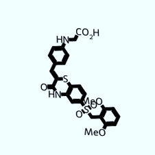 COc1cccc(OC)c1CS(=O)(=O)c1ccc2c(c1)NC(=O)/C(=C/c1ccc(NCC(=O)O)cc1)S2